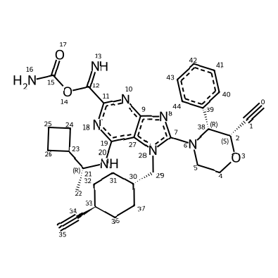 C#C[C@@H]1OCCN(c2nc3nc(C(=N)OC(N)=O)nc(N[C@H](C)C4CCC4)c3n2C[C@H]2CC[C@H](C#C)CC2)[C@@H]1c1ccccc1